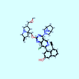 C#Cc1cccc2cc(O)cc(-c3ncc4c(N5CC6CCC(C5)N6)nc(OCC56CC(=C)CN5C[C@@H](COC)C6)nc4c3F)c12